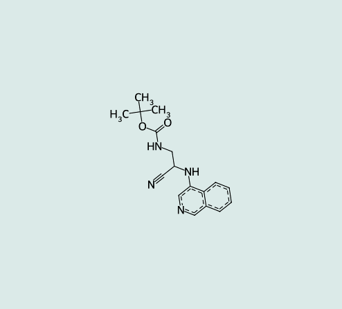 CC(C)(C)OC(=O)NCC(C#N)Nc1cncc2ccccc12